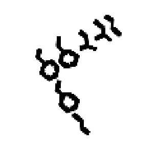 C=CC(=C)C.C=CC(=C)C.C=CC=C.C=CC=C.C=Cc1ccccc1.C=Cc1ccccc1.C=Cc1ccccc1